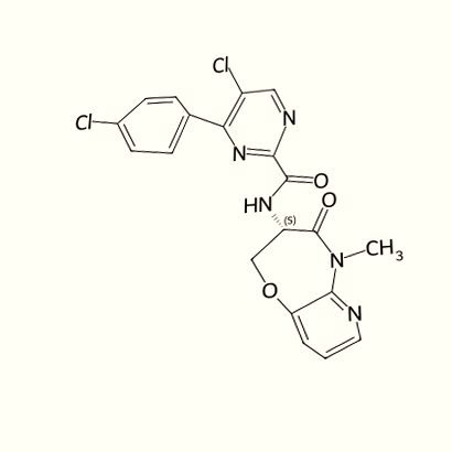 CN1C(=O)[C@@H](NC(=O)c2ncc(Cl)c(-c3ccc(Cl)cc3)n2)COc2cccnc21